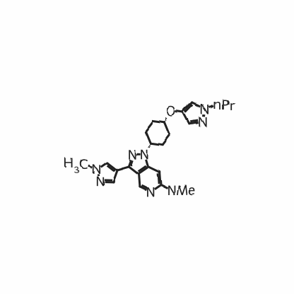 CCCn1cc(O[C@H]2CC[C@@H](n3nc(-c4cnn(C)c4)c4cnc(NC)cc43)CC2)cn1